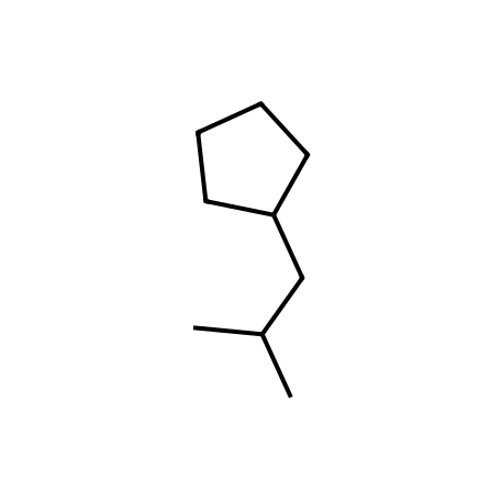 CC(C)CC1CCCC1